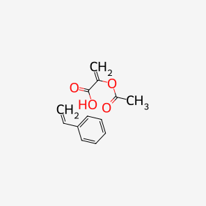 C=C(OC(C)=O)C(=O)O.C=Cc1ccccc1